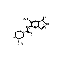 C=C1NC=Cc2cc(NC(=O)[C@@H]3CCC[C@H](N)C3)c(OC)cc21